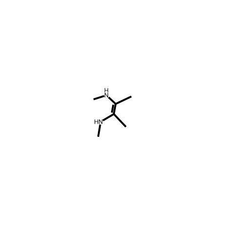 CNC(C)=C(C)NC